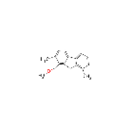 COCc1c(C)ccc2c1Cc1c(C)cccc1-2